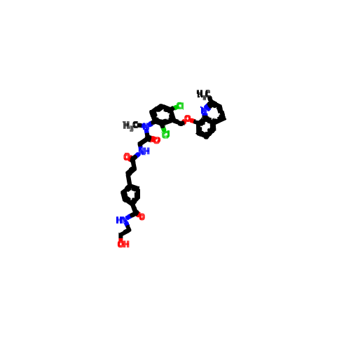 Cc1ccc2cccc(OCc3c(Cl)ccc(N(C)C(=O)CNC(=O)C=Cc4ccc(C(=O)NCCO)cc4)c3Cl)c2n1